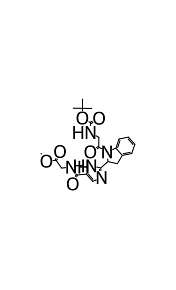 COC(=O)CNC(=O)c1cnc(C2Cc3ccccc3N2C(=O)CNC(=O)OC(C)(C)C)[nH]1